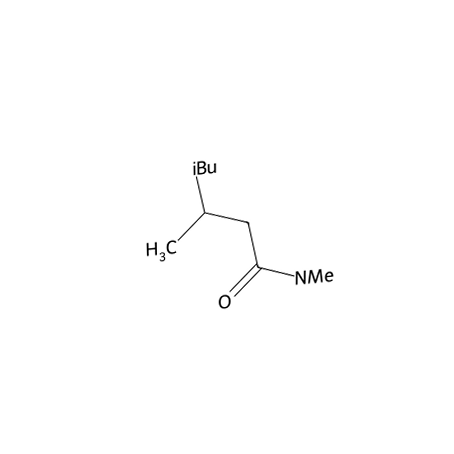 CCC(C)C(C)CC(=O)NC